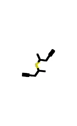 C#CCC(C)SC(C)CC#C